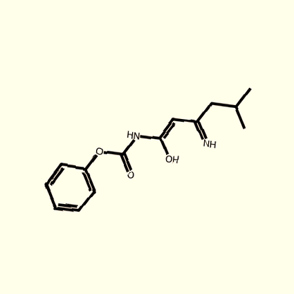 CC(C)CC(=N)/C=C(\O)NC(=O)Oc1ccccc1